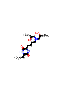 CCCCCCCCCCC(O)CN(CCCCC1NC(=O)C(CC(=O)O)NC1=O)CC(O)CCCCCCCCCC